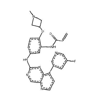 C=CC(=O)Nc1cc(Nc2ncc3nccc(-c4cncc(F)c4)c3n2)ccc1OC1CN(C)C1